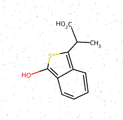 CC(C(=O)O)c1sc(O)c2ccccc12